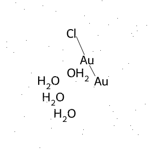 O.O.O.O.[Cl][Au][Au]